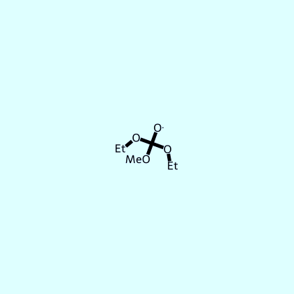 CCOC([O])(OC)OCC